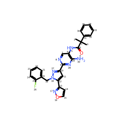 CC(C)(C(=O)Nc1cnc(-c2cc(-c3ccon3)n(Cc3ccccc3F)n2)nc1N)c1ccccc1